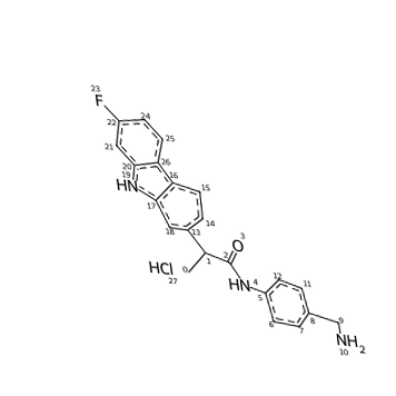 CC(C(=O)Nc1ccc(CN)cc1)c1ccc2c(c1)[nH]c1cc(F)ccc12.Cl